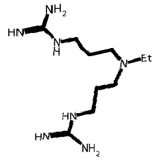 CCN(CCCNC(=N)N)CCCNC(=N)N